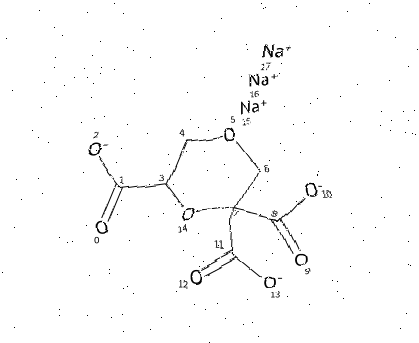 O=C([O-])C1COCC(C(=O)[O-])(C(=O)[O-])O1.[Na+].[Na+].[Na+]